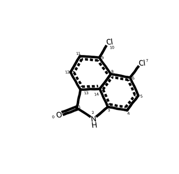 O=C1Nc2ccc(Cl)c3c(Cl)ccc1c23